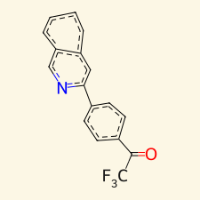 O=C(c1ccc(-c2cc3ccccc3cn2)cc1)C(F)(F)F